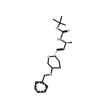 C[C@@H](/C=C/[C@@H]1CCC(OCc2ccccc2)CO1)NC(=O)OC(C)(C)C